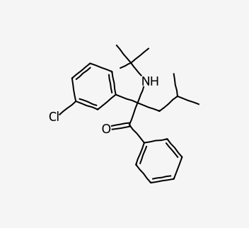 CC(C)CC(NC(C)(C)C)(C(=O)c1ccccc1)c1cccc(Cl)c1